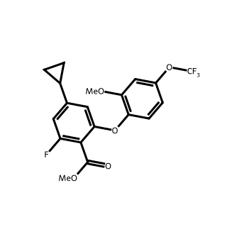 COC(=O)c1c(F)cc(C2CC2)cc1Oc1ccc(OC(F)(F)F)cc1OC